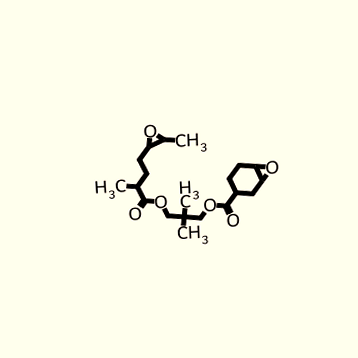 CC(CCC1OC1C)C(=O)OCC(C)(C)COC(=O)C1CCC2OC2C1